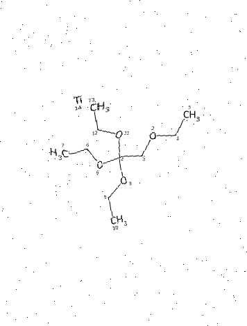 CCO[CH]C(OCC)(OCC)OCC.[Ti]